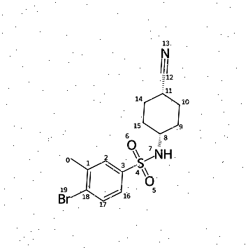 Cc1cc(S(=O)(=O)N[C@H]2CC[C@@H](C#N)CC2)ccc1Br